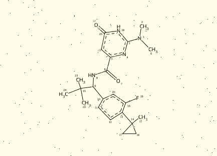 CN(C)c1nc(C(=O)NC(c2ccc(C3(C)CC3)c(F)c2)C(C)(C)C)cc(=O)[nH]1